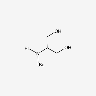 CCN(C(CO)CO)C(C)(C)C